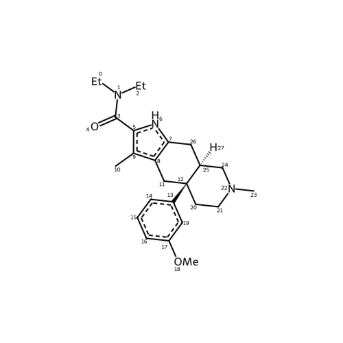 CCN(CC)C(=O)c1[nH]c2c(c1C)C[C@@]1(c3cccc(OC)c3)CCN(C)C[C@@H]1C2